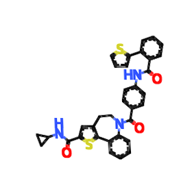 O=C(NC1CC1)c1cc2c(s1)-c1ccccc1N(C(=O)c1ccc(NC(=O)c3ccccc3-c3cccs3)cc1)CC2